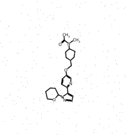 CC(=O)N(C)C1CCC(COc2ccc(-c3ccnn3C3CCCCO3)nc2)CC1